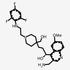 COc1ccc2ncc(CN)c([C@@H](O)CCC3(CO)CCN(CCNc4c(F)cc(F)cc4F)CC3)c2c1